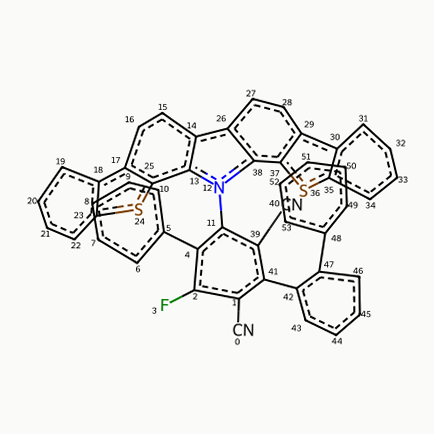 N#Cc1c(F)c(-c2ccccc2)c(-n2c3c(ccc4c5ccccc5sc43)c3ccc4c5ccccc5sc4c32)c(C#N)c1-c1ccccc1-c1ccccc1